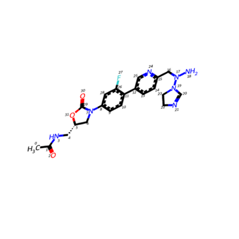 CC(=O)NC[C@H]1CN(c2ccc(-c3ccc(CN(N)N4C=NCC4)nc3)c(F)c2)C(=O)O1